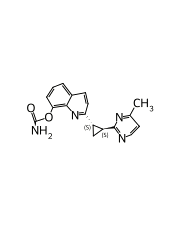 Cc1ccnc([C@H]2C[C@@H]2c2ccc3cccc(OC(N)=O)c3n2)n1